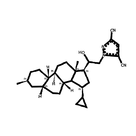 C[C@H]1CC[C@H]2[C@H](CC[C@H]3C4[C@H](C5CC5)C[C@H](C(O)Cn5nc(C#N)cc5C#N)[C@@]4(C)CC[C@H]23)C1